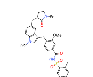 CCCn1cc(Cc2ccc(C(=O)NS(=O)(=O)c3ccccc3C)cc2OC)c2cc(CC3CCN(CC)C3=O)ccc21